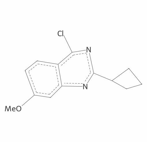 COc1ccc2c(Cl)nc(C3CCC3)nc2c1